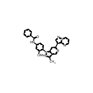 COc1cc(NC(=O)c2ccccc2)ccc1-n1nc(C)c2cnc(-c3cnn4cccnc34)cc21